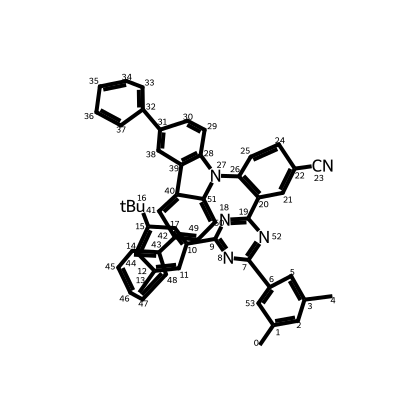 Cc1cc(C)cc(-c2nc(-c3cc(C)cc(C(C)(C)C)c3)nc(-c3cc(C#N)ccc3-n3c4ccc(-c5ccccc5)cc4c4cc(-c5ccccc5)ccc43)n2)c1